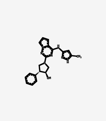 Cc1cc(Nc2nc(N3C[C@@H](O)[C@H](c4ccccc4)C3)nn3cccc23)n[nH]1